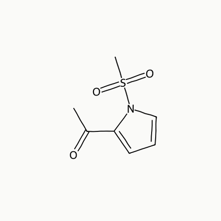 CC(=O)c1cccn1S(C)(=O)=O